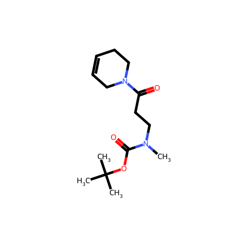 CN(CCC(=O)N1CC=CCC1)C(=O)OC(C)(C)C